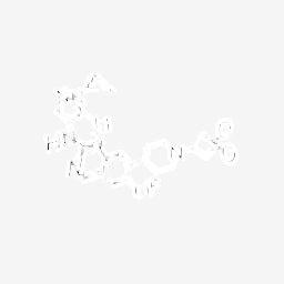 O=S1(=O)CC(N2CCC(c3cc4nc(Nc5cnn(C6CC6)c5Cl)ncc4cc3Cl)[C@@H](F)C2)C1